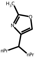 CCCC(CCC)c1coc(C)n1